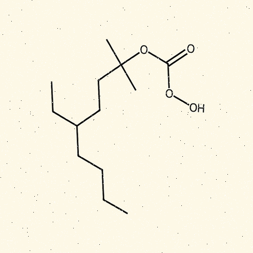 CCCCC(CC)CCC(C)(C)OC(=O)OO